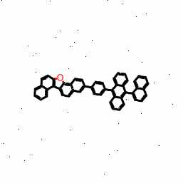 c1ccc2c(-c3c4ccccc4c(-c4ccc(-c5ccc6c(ccc7c6oc6ccc8ccccc8c67)c5)cc4)c4ccccc34)cccc2c1